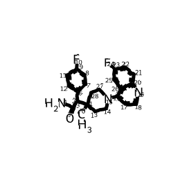 CC1(C(C(N)=O)c2ccc(F)cc2)CCN(c2ccnc3ccc(F)cc23)CC1